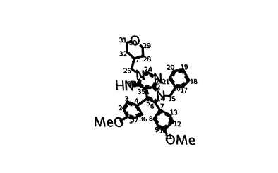 COc1ccc(-c2c(-c3ccc(OC)cc3)n(Cc3ccccc3)c3ncn(CC4CCOCC4)c(=N)c23)cc1